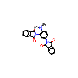 CC(C)N(c1ccc(N2C(=O)C3C4C=CC(C4)C3C2=O)cc1N1C(=O)C2C3C=CC(C3)C2C1=O)C(C)C